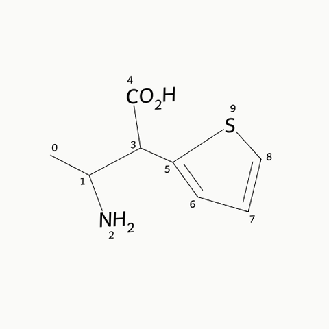 CC(N)C(C(=O)O)c1cccs1